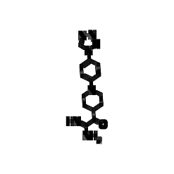 N=C(N)C(=O)C1CCN(c2ccc(-n3cnnn3)cc2)CC1